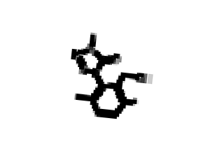 Cc1ccc(C)c(-n2nnn(C)c2=O)c1CO